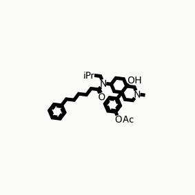 CC(=O)Oc1cccc(C23CCN(C)CC2(O)CCC(N(CC(C)C)C(=O)CCCCCc2ccccc2)C3)c1